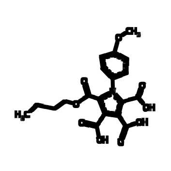 CCCCOC(=O)c1c(C(=O)O)c(C(=O)O)c(C(=O)O)n1-c1ccc(OC)cc1